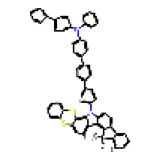 CC1(C)c2ccccc2-c2ccc3c(c21)c1ccc2c(c1n3-c1ccc(-c3ccc(-c4ccc(N(c5ccccc5)c5ccc(-c6ccccc6)cc5)cc4)cc3)cc1)Sc1ccccc1S2